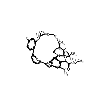 CCOC(=O)[C@@H](OC(C)(C)C)c1c(C)cn2cc3nc2c1N1CCC(C)(CC1)OCCCC[C@H](C)Oc1cc(F)ccc1-c1cccc-3c1